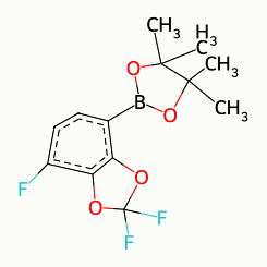 CC1(C)OB(c2ccc(F)c3c2OC(F)(F)O3)OC1(C)C